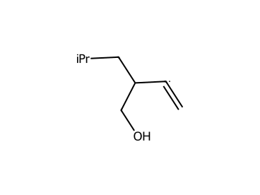 C=[C]C(CO)CC(C)C